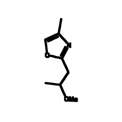 COC(C)Cc1nc(C)co1